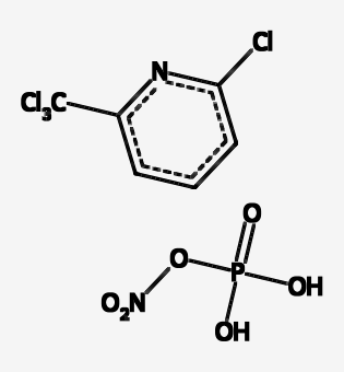 Clc1cccc(C(Cl)(Cl)Cl)n1.O=[N+]([O-])OP(=O)(O)O